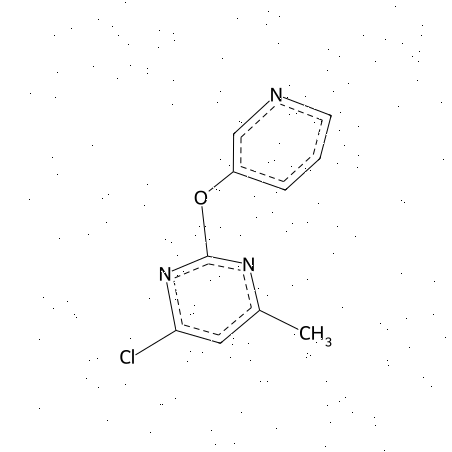 Cc1cc(Cl)nc(Oc2cccnc2)n1